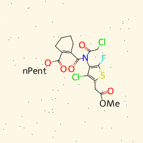 CCCCCOC(=O)C1=C(C(=O)N(C(=O)CCl)c2c(F)sc(CC(=O)OC)c2Cl)CCCC1